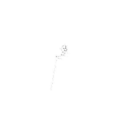 CCCCCCCCCCCCCCCCOCCOP(=O)(O)OC[C@H]1O[C@@](C#N)(c2ccc3c(C)ncnn23)[C@H](O)[C@@H]1O